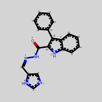 O=C(N/N=C\c1cnc[nH]1)c1[nH]c2ccccc2c1-c1ccccc1